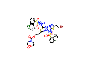 Cc1c(Cl)cccc1S(=O)(=O)Nc1nnc(CCBr)s1.Cc1c(Cl)cccc1S(=O)(=O)Nc1nnc(CCOC(=O)N2CCOCC2)s1